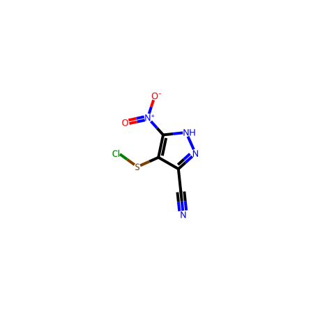 N#Cc1n[nH]c([N+](=O)[O-])c1SCl